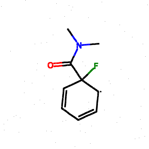 CN(C)C(=O)C1(F)[CH]C=CC=C1